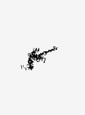 Cc1ncsc1-c1ccc(CNC(=O)[C@@H]2C[C@@H](O)CN2C(=O)[C@@H](NC(=O)CCCOCCCCCCBr)C(C)(C)C)cc1